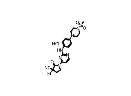 CC[C@]1(C#N)CCN(c2ccnc(Nc3ccc(N4CCN(S(C)(=O)=O)CC4)cc3)n2)C1=O.Cl